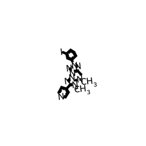 CN(Cc1nnn(-c2cccc(I)c2)n1)c1nnc(-c2ccncc2)n1C